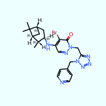 C[C@@H]1[C@H]2C[C@@H](C[C@H]1Nc1cnn(Cc3nnnn3Cc3ccncc3)c(=O)c1Br)C2(C)C